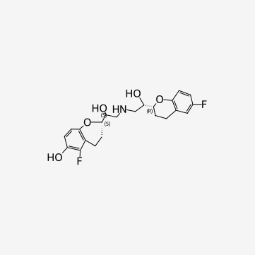 Oc1ccc2c(c1F)CC[C@@H]([C@@H](O)CNCC(O)[C@H]1CCc3cc(F)ccc3O1)O2